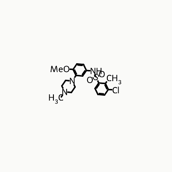 COc1ccc(NS(=O)(=O)c2cccc(Cl)c2C)cc1N1CCN(C)CC1